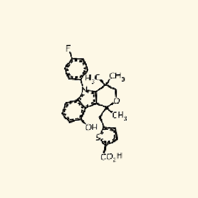 CC1(C)COC(C)(Cc2ccc(C(=O)O)s2)c2c1n(-c1ccc(F)cc1)c1cccc(O)c21